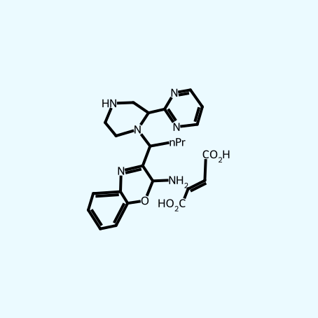 CCCC(C1=Nc2ccccc2OC1N)N1CCNCC1c1ncccn1.O=C(O)C=CC(=O)O